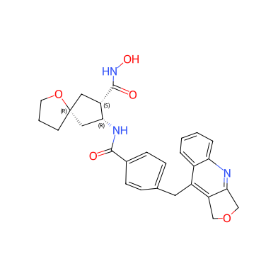 O=C(N[C@@H]1C[C@@]2(CCCO2)C[C@@H]1C(=O)NO)c1ccc(Cc2c3c(nc4ccccc24)COC3)cc1